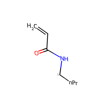 C=CC(=O)N[C]CCC